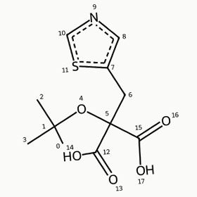 CC(C)(C)OC(Cc1cncs1)(C(=O)O)C(=O)O